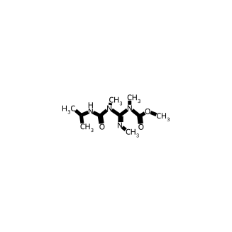 CN=C(N(C)C(=O)NC(C)C)N(C)C(=O)OC